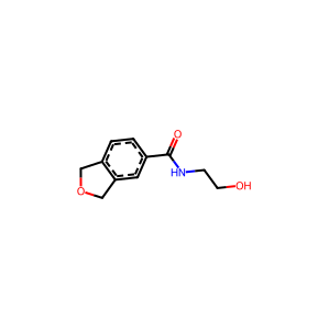 O=C(NCCO)c1ccc2c(c1)COC2